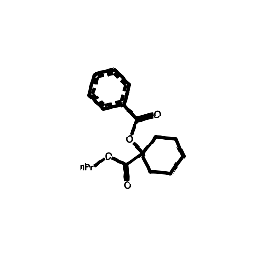 CCCOC(=O)C1(OC(=O)c2ccccc2)CCCCC1